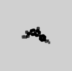 CC(C)(C)OC(=O)N1CCN2C(=O)CN(c3ccc(C(F)(F)F)cc3)CC2C1